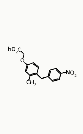 Cc1cc(OCC(=O)O)ccc1Cc1ccc([N+](=O)[O-])cc1